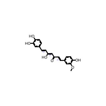 COc1cc(/C=C/C(=O)/C=C(O)/C=C/c2ccc(O)c(O)c2)ccc1O